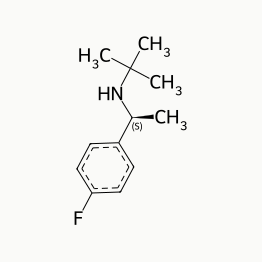 C[C@H](NC(C)(C)C)c1ccc(F)cc1